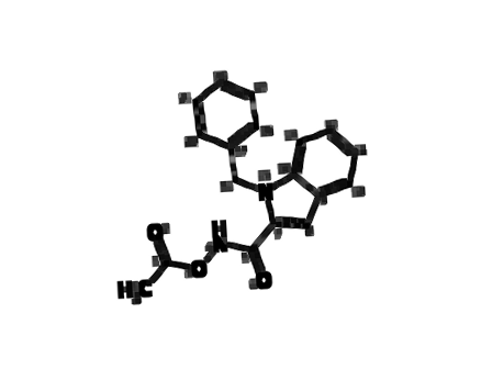 CC(=O)ONC(=O)c1cc2ccccc2n1Cc1ccccc1